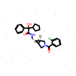 O=C(c1ccccc1F)N1CC2[C@H](CNC(=O)C(O)(c3ccccc3)C3CCCC3)[C@H]2C1